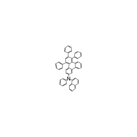 c1ccc(-c2cc(-c3ccccc3)c3c4ccc(N(c5ccccc5)c5cccc6ccccc56)cc4c4ccccc4c3c2-c2ccccc2)cc1